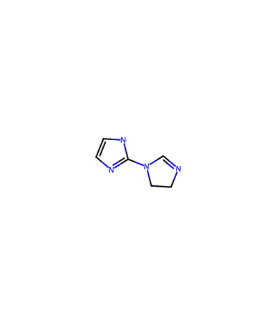 C1=CN=C(N2C=NCC2)[N]1